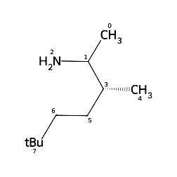 CC(N)[C@H](C)CCC(C)(C)C